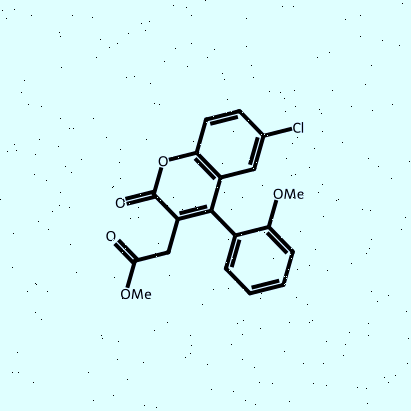 COC(=O)Cc1c(-c2ccccc2OC)c2cc(Cl)ccc2oc1=O